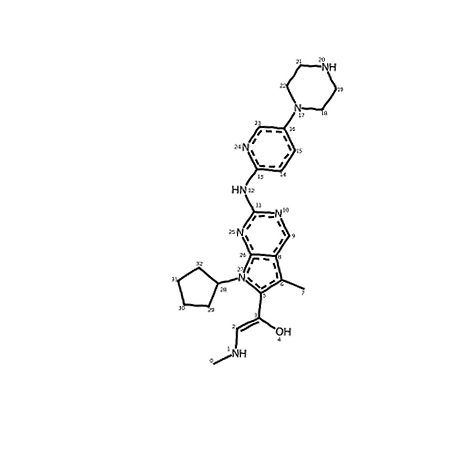 CN/C=C(\O)c1c(C)c2cnc(Nc3ccc(N4CCNCC4)cn3)nc2n1C1CCCC1